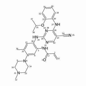 C=CC(=O)Nc1cc(N2CCN(C)CC2)c(C)cc1Nc1ncc(C#N)c(Nc2ccccc2OC(C)C)n1